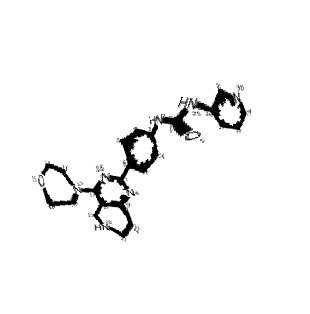 O=C(Nc1ccc(-c2nc3c(c(N4CCOCC4)n2)CNCC3)cc1)Nc1cccnc1